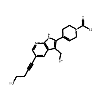 CCC(=O)N1CC=C(c2[nH]c3ncc(C#CCCO)cc3c2CC(C)C)CC1